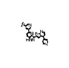 CN(C)c1cncc(-c2ccc3[nH]nc(-c4cc5c(-c6ccncc6)ccnc5[nH]4)c3n2)c1